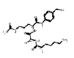 CC(C)[C@H](NC(=O)[C@@H](C)CCCCN)C(=O)N[C@@H](CCCNC(N)=O)C(=O)Nc1ccc(CO)cc1